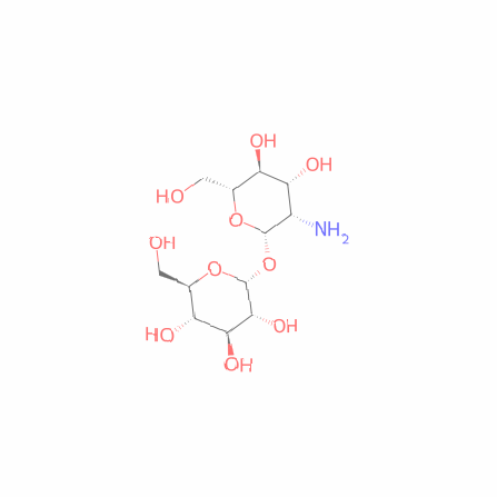 N[C@@H]1[C@H](O[C@H]2O[C@H](CO)[C@@H](O)[C@H](O)[C@H]2O)O[C@H](CO)[C@@H](O)[C@@H]1O